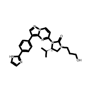 CC(C)[C@H]1CN(CCCO)C(=O)N1c1ccn2ncc(-c3ccc(-c4ncc[nH]4)cc3)c2n1